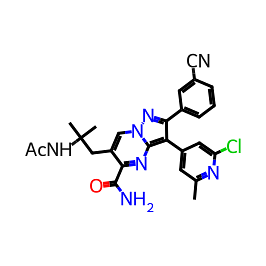 CC(=O)NC(C)(C)Cc1cn2nc(-c3cccc(C#N)c3)c(-c3cc(C)nc(Cl)c3)c2nc1C(N)=O